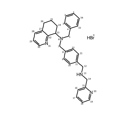 Br.c1ccc(CN(Cc2ccc(CNCc3ccccn3)cc2)C2CCCc3cccnc32)cc1